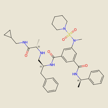 C[C@H](NC[C@H](Cc1ccccc1)NC(=O)c1cc(C(=O)N[C@H](C)c2ccccc2)cc(N(C)S(=O)(=O)N2CCCCC2)c1)C(=O)NCC1CC1